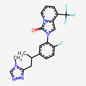 CC(Cc1nncn1C)c1ccc(F)c(-n2cc3c(C(F)(F)F)cccn3c2=O)c1